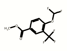 COC(=O)c1ccc(OC(F)F)c(C(F)(F)F)c1